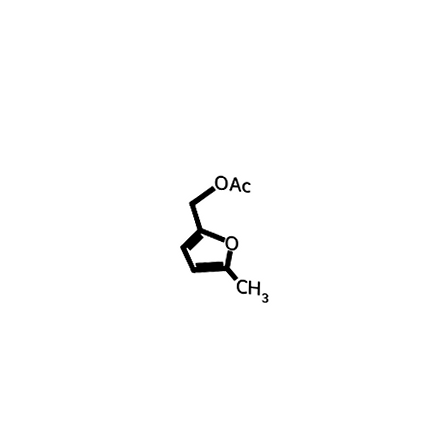 CC(=O)OCc1ccc(C)o1